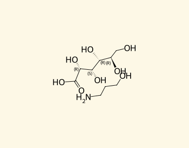 NCCCO.O=C(O)[C@H](O)[C@@H](O)[C@H](O)[C@H](O)CO